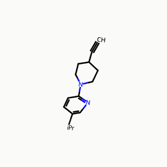 C#CC1CCN(c2ccc(C(C)C)cn2)CC1